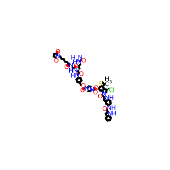 Cc1csc2c(OC(=O)N3CCN(C(=O)OCc4ccc(NC(=O)[C@H](CCCNC(N)=O)NC(=O)CNC(=O)CCCCCN5C(=O)C=CC5=O)cc4)CC3)cc3c(c12)[C@@H](CCl)CN3C(=O)c1cc2cc(NC(=O)c3cc4ccccc4[nH]3)ccc2[nH]1